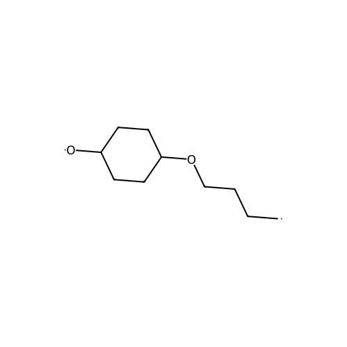 [CH2]CCCOC1CCC([O])CC1